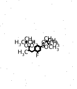 CC(Cc1ccc(B2OC(C)(C)C(C)(C)O2)cc1F)C(=O)OC(C)(C)C